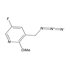 COc1ncc(F)cc1CN=[N+]=[N-]